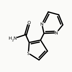 NC(=O)c1sccc1-c1ncccn1